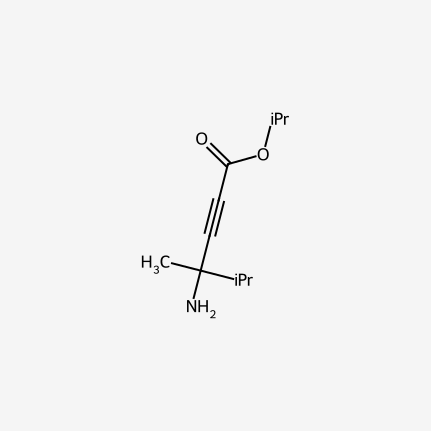 CC(C)OC(=O)C#CC(C)(N)C(C)C